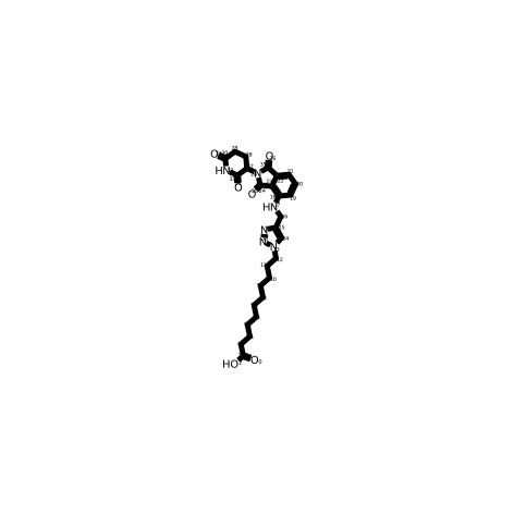 O=C(O)CCCCCCCCCCn1cc(CNc2cccc3c2C(=O)N(C2CCC(=O)NC2=O)C3=O)nn1